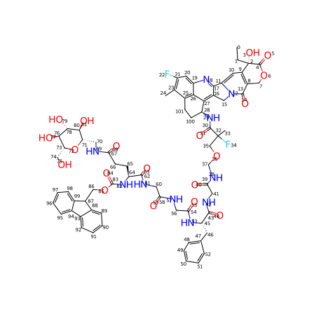 CC[C@@]1(O)C(=O)OCc2c1cc1n(c2=O)Cc2c-1nc1cc(F)c(C)c3c1c2[C@@H](NC(=O)C(C)(F)COCNC(=O)CNC(=O)[C@H](Cc1ccccc1)NC(=O)CNC(=O)CNC(=O)[C@H](CCC(=O)NC[C@@H]1O[C@H](CO)[C@@H](O)[C@H](O)[C@H]1O)NC(=O)OCC1c2ccccc2-c2ccccc21)CC3